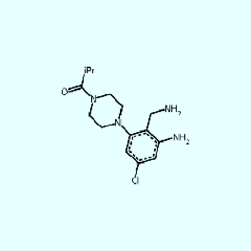 CC(C)C(=O)N1CCN(c2cc(Cl)cc(N)c2CN)CC1